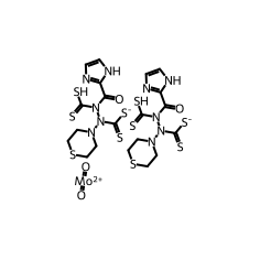 O=C(c1ncc[nH]1)N(C(=S)S)N(C(=S)[S-])N1CCSCC1.O=C(c1ncc[nH]1)N(C(=S)S)N(C(=S)[S-])N1CCSCC1.[O]=[Mo+2]=[O]